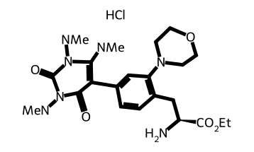 CCOC(=O)[C@@H](N)Cc1ccc(-c2c(NC)n(NC)c(=O)n(NC)c2=O)cc1N1CCOCC1.Cl